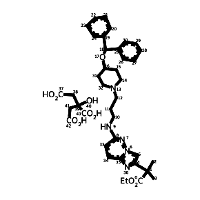 CCOC(=O)C(C)(C)c1cn2nc(NCCCN3CCC(OC(c4ccccc4)c4ccccc4)CC3)ccc2n1.O=C(O)CC(O)(CC(=O)O)C(=O)O